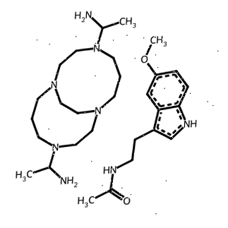 CC(N)N1CCCN2CCN(CCCN(C(C)N)CC2)CC1.COc1ccc2[nH]cc(CCNC(C)=O)c2c1